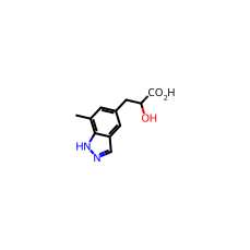 Cc1cc(CC(O)C(=O)O)cc2cn[nH]c12